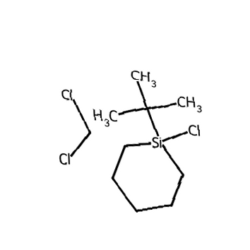 CC(C)(C)[Si]1(Cl)CCCCC1.ClCCl